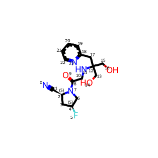 N#C[C@@H]1C[C@H](F)CN1C(=O)CNC(CO)(CO)Cc1ccccn1